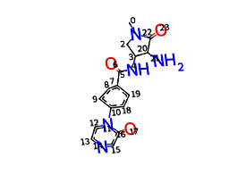 CN1CC(NC(=O)c2ccc(-n3ccncc3=O)cc2)C(N)C1=O